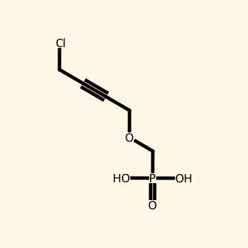 O=P(O)(O)COCC#CCCl